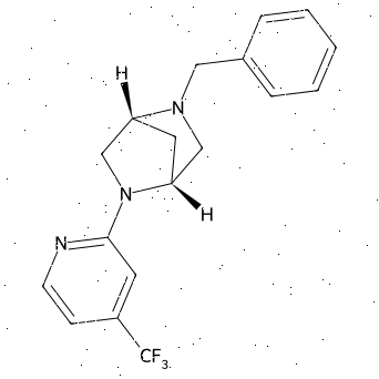 FC(F)(F)c1ccnc(N2C[C@H]3C[C@@H]2CN3Cc2ccccc2)c1